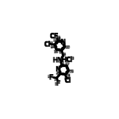 Cl.FC(F)c1nc(NCc2cnc(C(F)(F)F)c(Cl)c2)ccc1Cl